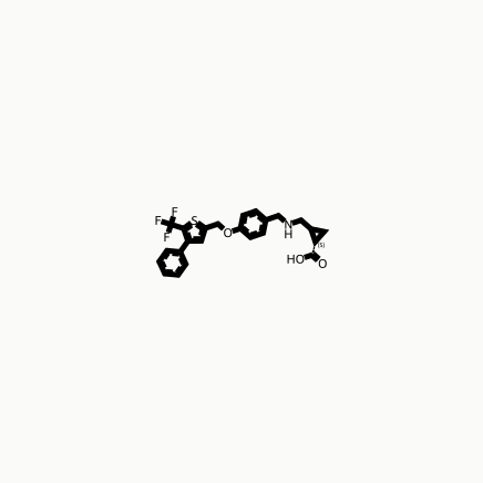 O=C(O)[C@H]1CC1CNCc1ccc(OCc2cc(-c3ccccc3)c(C(F)(F)F)s2)cc1